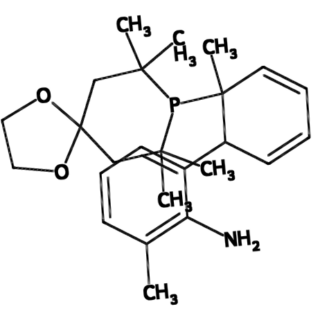 Cc1cccc(C2C=CC=CC2(C)P2C(C)(C)CC3(CC2(C)C)OCCO3)c1N